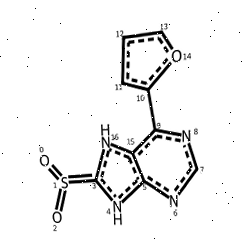 O=S(=O)=c1[nH]c2ncnc(-c3ccco3)c2[nH]1